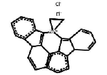 C1=CC2=[C]([Zr+2]3([C]4=C5C=CC=CC5c5ccccc54)[CH2][CH2]3)c3ccccc3C2C=C1.[Cl-].[Cl-]